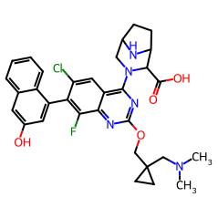 CN(C)CC1(COc2nc(N3CC4CCC(N4)C3C(=O)O)c3cc(Cl)c(-c4cc(O)cc5ccccc45)c(F)c3n2)CC1